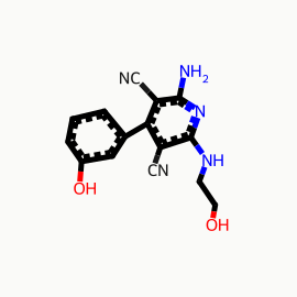 N#Cc1c(N)nc(NCCO)c(C#N)c1-c1cccc(O)c1